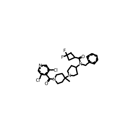 CC1(N2CCC(N(Cc3ccccc3)C(=O)C3CC(F)(F)C3)CC2)CCN(C(=O)c2c(Cl)cncc2Cl)CC1